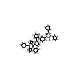 c1ccc(C2=NC(c3ccccc3)NC(c3cccc(-c4ccccc4-c4ccc5c(c4)C4(c6ccccc6-5)c5ccccc5N(c5ccccc5)c5ccccc54)c3)=N2)cc1